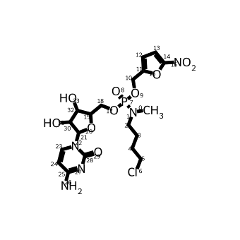 CN(CCCCCl)P(=O)(OCc1ccc([N+](=O)[O-])o1)OCC1OC(n2ccc(N)nc2=O)C(O)C1O